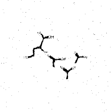 CC(=O)O.CC(=O)O.CC(=O)O.OCCC(O)C(O)O